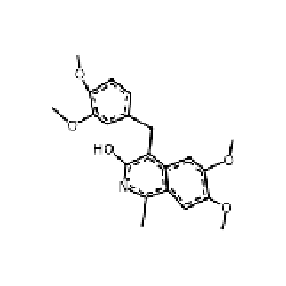 COc1ccc(Cc2c(O)nc(C)c3cc(OC)c(OC)cc23)cc1OC